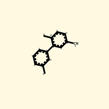 Cc1cccc(-c2cc(C#N)ccc2C)c1